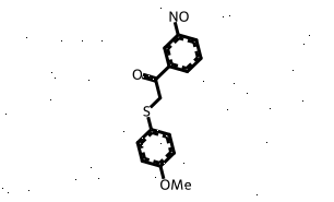 COc1ccc(SCC(=O)c2cccc(N=O)c2)cc1